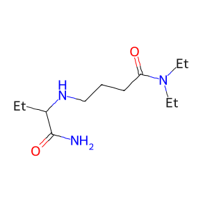 CCC(NCCCC(=O)N(CC)CC)C(N)=O